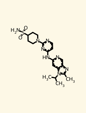 Cc1nc2cnc(Nc3ccnc(N4CCC(S(N)(=O)=O)CC4)n3)cc2n1C(C)C